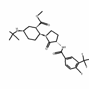 COC(=O)[C@@H]1C[C@H](NC(C)(C)C)CC[C@@H]1N1CC[C@H](NC(=O)c2ccc(F)c(C(F)(F)F)c2)C1=O